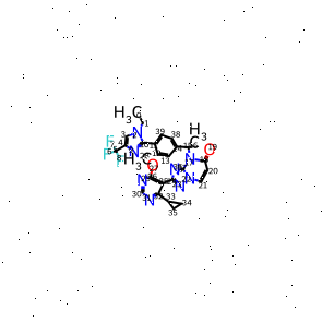 CCn1cc(C(F)(F)F)nc1-c1ccc([C@@H](C)n2c(=O)ccn3nc(-c4c(OC)ncnc4C4CC4)nc23)cc1